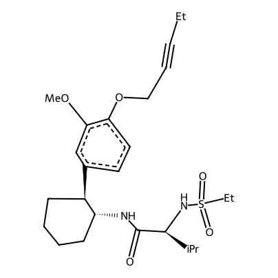 CCC#CCOc1ccc([C@@H]2CCCC[C@H]2NC(=O)[C@@H](NS(=O)(=O)CC)C(C)C)cc1OC